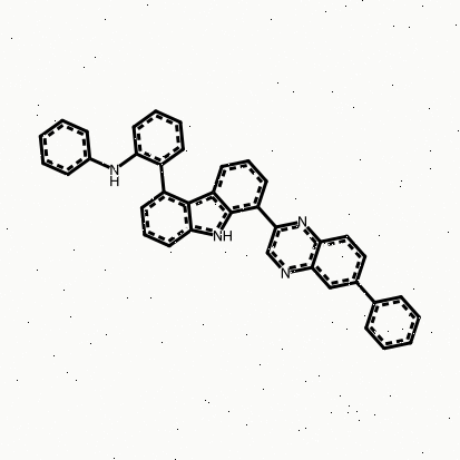 c1ccc(Nc2ccccc2-c2cccc3[nH]c4c(-c5cnc6cc(-c7ccccc7)ccc6n5)cccc4c23)cc1